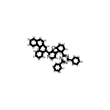 c1ccc(-c2nc(-c3ccccc3)nc(-c3cccc4oc5c(-c6cc7ccc8ccccc8c7c7ccccc67)nccc5c34)n2)cc1